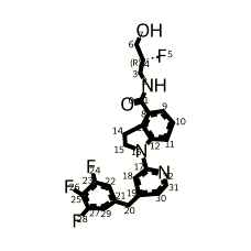 O=C(NC[C@@H](F)CO)c1cccc2c1CCN2c1cc(Cc2cc(F)c(F)c(F)c2)ccn1